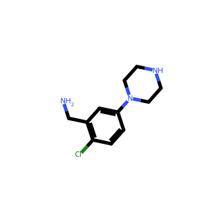 NCc1cc(N2CCNCC2)ccc1Cl